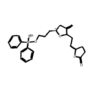 C=C1C[C@H](CCCO[Si](c2ccccc2)(c2ccccc2)C(C)(C)C)OC1CCC1CCC(=O)O1